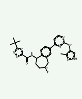 Cc1n[nH]cc1Nc1nccc(-c2ccc3c(c2)C[C@@H](F)CCC3NC(=O)c2nnc(C(C)(C)C)o2)n1